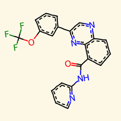 O=C(Nc1ccccn1)c1cccc2ncc(-c3cccc(OC(F)(F)F)c3)nc12